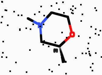 [CH2][C@@H]1CN(C)CCO1